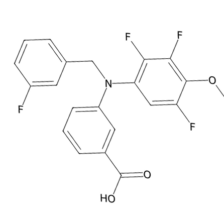 COc1c(F)cc(N(Cc2cccc(F)c2)c2cccc(C(=O)O)c2)c(F)c1F